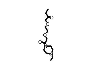 CCC(=O)COCCOCC(=O)N1CCN(CC)CC1